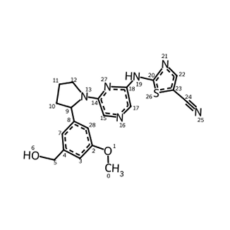 COc1cc(CO)cc(C2CCCN2c2cncc(Nc3ncc(C#N)s3)n2)c1